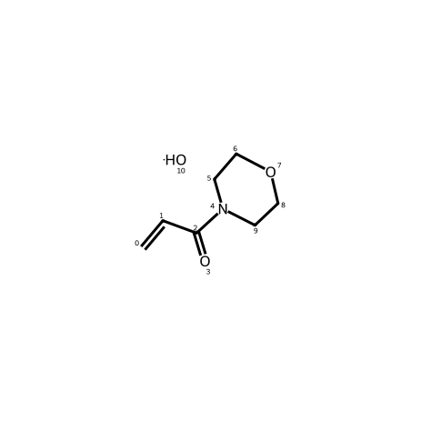 C=CC(=O)N1CCOCC1.[OH]